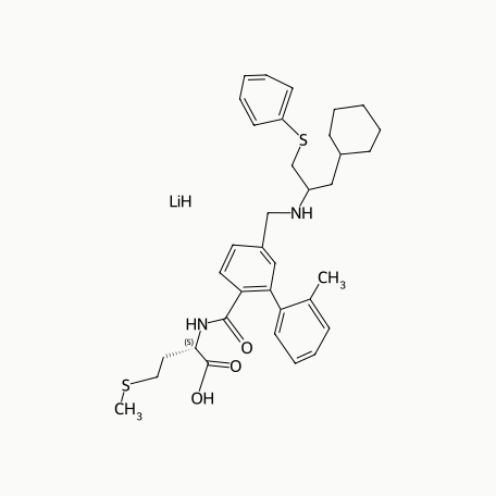 CSCC[C@H](NC(=O)c1ccc(CNC(CSc2ccccc2)CC2CCCCC2)cc1-c1ccccc1C)C(=O)O.[LiH]